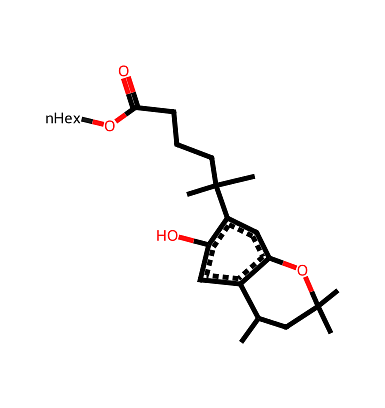 CCCCCCOC(=O)CCCC(C)(C)c1cc2c(cc1O)C(C)CC(C)(C)O2